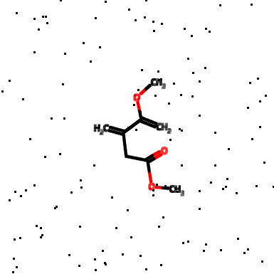 C=C(CC(=O)OC)C(=C)OC